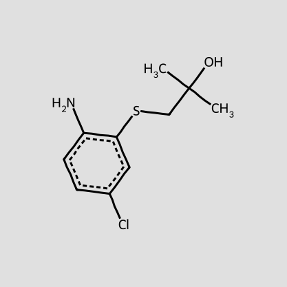 CC(C)(O)CSc1cc(Cl)ccc1N